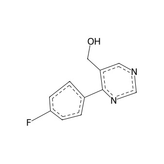 OCc1cncnc1-c1ccc(F)cc1